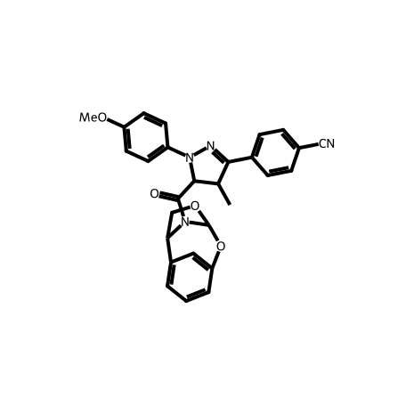 COc1ccc(N2N=C(c3ccc(C#N)cc3)C(C)C2C(=O)N2C3OCC2c2cccc(c2)O3)cc1